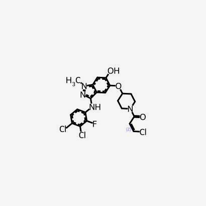 Cn1nc(Nc2ccc(Cl)c(Cl)c2F)c2cc(OC3CCN(C(=O)/C=C\Cl)CC3)c(O)cc21